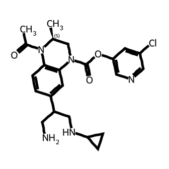 CC(=O)N1c2ccc(C(CN)CNC3CC3)cc2N(C(=O)Oc2cncc(Cl)c2)C[C@@H]1C